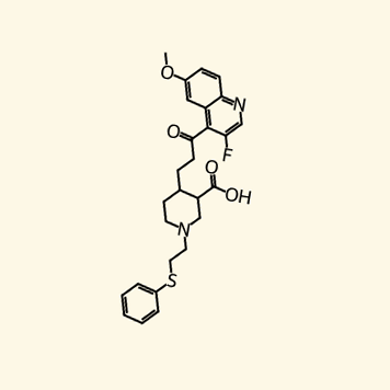 COc1ccc2ncc(F)c(C(=O)CCC3CCN(CCSc4ccccc4)CC3C(=O)O)c2c1